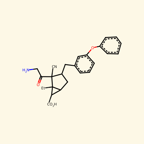 CCC12C(CC(Cc3cccc(Oc4ccccc4)c3)C1(C#N)C(=O)CN)C2C(=O)O